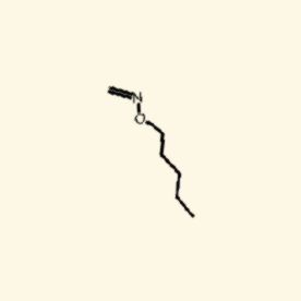 C=NOCCCCC